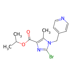 Cc1c(C(=O)OC(C)C)nc(Br)n1Cc1ccncc1